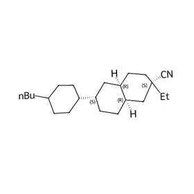 CCCCC1CCC([C@H]2CC[C@@H]3C[C@](C#N)(CC)CC[C@@H]3C2)CC1